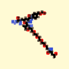 CC(=O)CCC(=O)NCCOCCOCCOCCOCCC(=O)N[C@H](C(=O)N[C@@H](CCCNC(N)=O)C(=O)Nc1ccc(COC=O)cc1)C(C)C